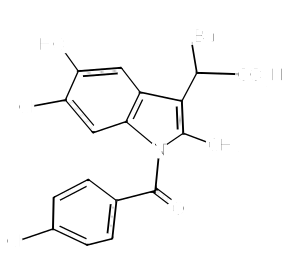 Cc1c(C(C(=O)O)C(C)(C)C)c2cc(O)c(Cl)cc2n1C(=O)c1ccc(Cl)cc1